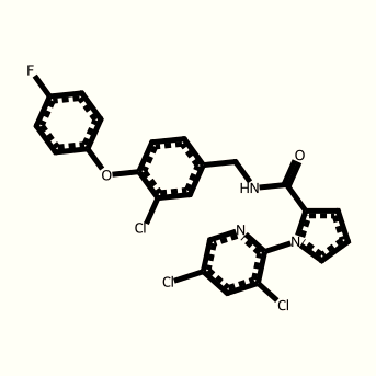 O=C(NCc1ccc(Oc2ccc(F)cc2)c(Cl)c1)c1cccn1-c1ncc(Cl)cc1Cl